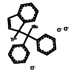 CC(C)(C)C(c1ccccc1)(c1ccccc1)[C]1([Ti+3])C=Cc2ccccc21.[Cl-].[Cl-].[Cl-]